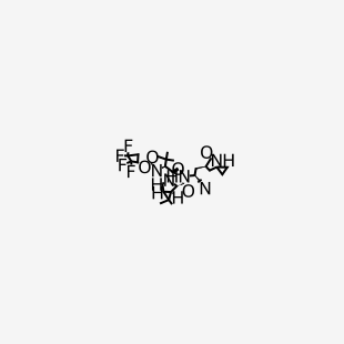 CC(C)(C)[C@H](NC(=O)OC1CC(F)(F)C1(F)F)C(=O)N1C[C@H]2[C@@H]([C@H]1C(=O)N[C@H](C#N)C[C@@H]1CC3(CC3)NC1=O)C2(C)C